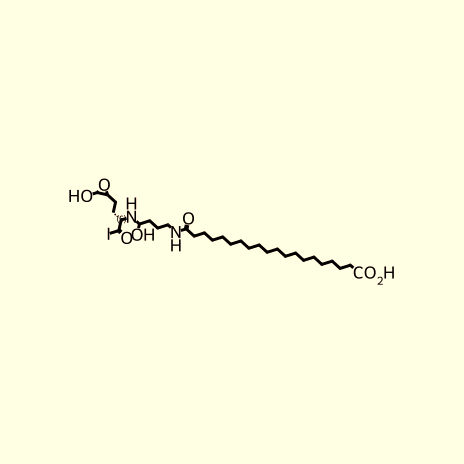 O=C(O)CCCCCCCCCCCCCCCCCCC(=O)NCCCC(O)N[C@@H](CCC1OC1O)C(=O)I